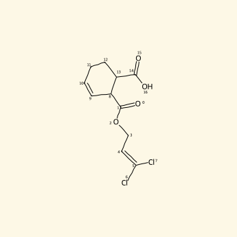 O=C(OCC=C(Cl)Cl)C1C=CCCC1C(=O)O